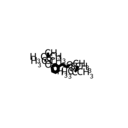 CC(C)(C)[Si](C)(C)OCCc1cccc(O[Si](C)(C)C(C)(C)C)c1